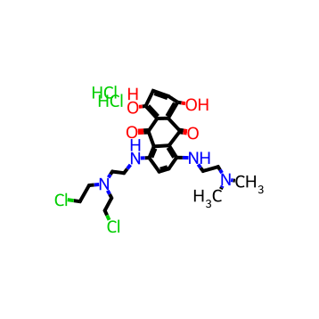 CN(C)CCNc1ccc(NCCN(CCCl)CCCl)c2c1C(=O)c1c(O)ccc(O)c1C2=O.Cl.Cl